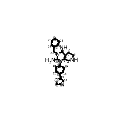 NC1C2=C(CNCC2)N(c2ccc(-c3cnco3)cc2)C(N)N1Cc1ccccc1